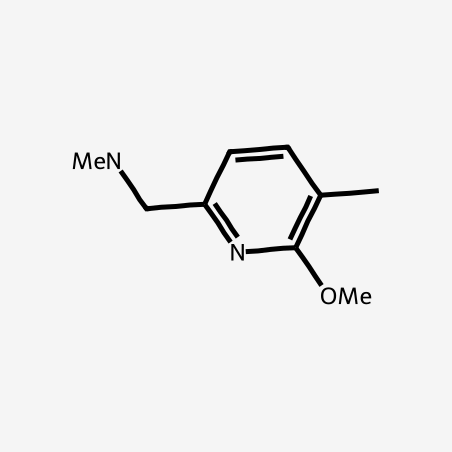 CNCc1ccc(C)c(OC)n1